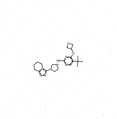 FC(F)(F)c1cnc(N[C@@H]2CCN(c3nnc4n3CCCC4)C2)nc1OC1COC1